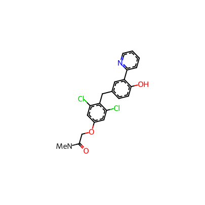 CNC(=O)COc1cc(Cl)c(Cc2ccc(O)c(-c3ccccn3)c2)c(Cl)c1